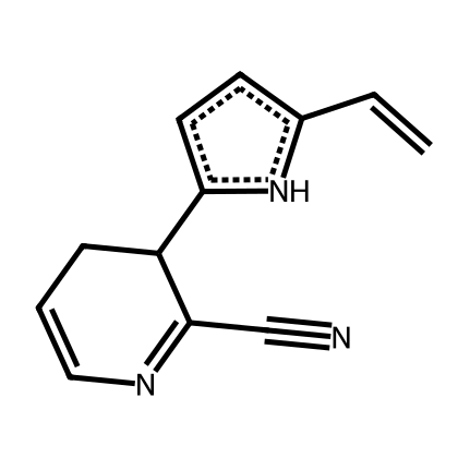 C=Cc1ccc(C2CC=CN=C2C#N)[nH]1